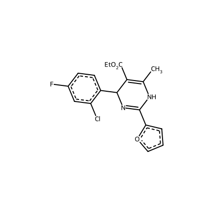 CCOC(=O)C1=C(C)NC(c2ccco2)=NC1c1ccc(F)cc1Cl